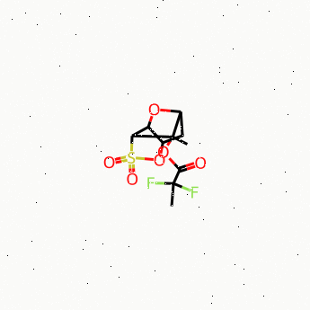 CC(F)(F)C(=O)OC1(C)C2CC3OS(=O)(=O)C1C3O2